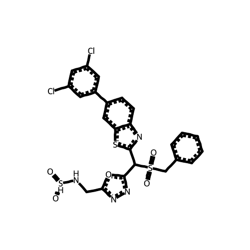 O=[SH](=O)NCc1nnc(C(c2nc3ccc(-c4cc(Cl)cc(Cl)c4)cc3s2)S(=O)(=O)Cc2ccccc2)o1